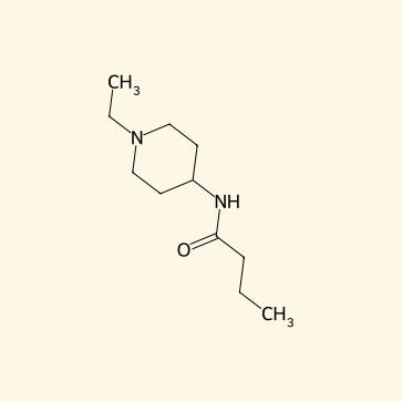 CCCC(=O)NC1CCN(CC)CC1